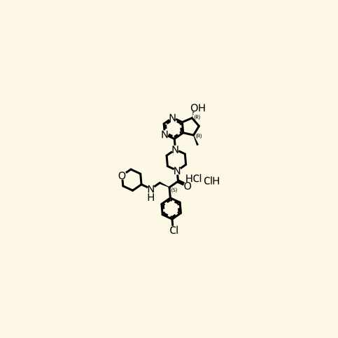 C[C@@H]1C[C@@H](O)c2ncnc(N3CCN(C(=O)[C@H](CNC4CCOCC4)c4ccc(Cl)cc4)CC3)c21.Cl.Cl